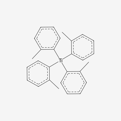 Cc1cccc[c]1[Ti]([c]1ccccc1C)([c]1ccccc1C)[c]1ccccc1C